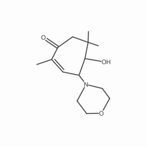 CC1=CC(N2CCOCC2)C(O)C(C)(C)CC1=O